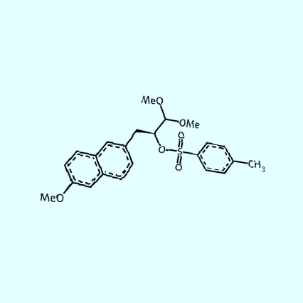 COc1ccc2cc(C[C@H](OS(=O)(=O)c3ccc(C)cc3)C(OC)OC)ccc2c1